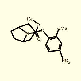 COc1cc([N+](=O)[O-])ccc1OC1CC2CCC(C1)N2C(=O)OC(C)(C)C